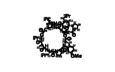 CC[C@H](C)[C@@H]1NC(=O)[C@@H](NC(=O)[C@@H](CC(C)C)N(C)C(=O)[C@@H]2CCCN2C(=O)C(C)=O)[C@@H](C)OC(=O)[C@H](Cc2ccc(OC)cc2)N(C)C(=O)[C@@H]2CCCN2C(=O)[C@H](CC(C)C)NC(=O)[C@@H](C)C(=O)[C@H](C(C)C)OC(=O)C[C@H]1SSC(C)C